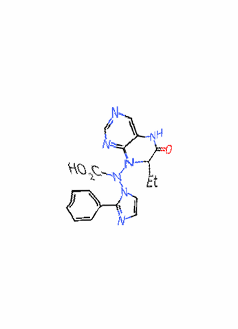 CCC1C(=O)Nc2cncnc2N1N(C(=O)O)n1ccnc1-c1ccccc1